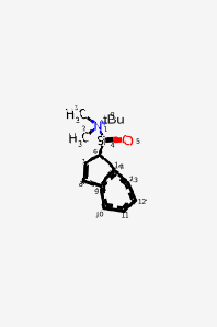 CC(C)(C)[N+](C)(C)[Si](=O)C1C=Cc2ccccc21